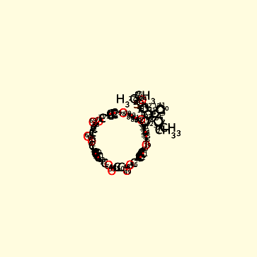 CC1(C)CCC2(CC1)c1ccccc1-c1c2c2c(c3cc4c(cc13)OC(C)(C)S4)OC1(C=C2)c2ccc(cc2)OC2CCC(CC2)COC(=O)CCC(=O)OCC2CCC(CC2)COC(=O)CCC(=O)OCC2CCC(CC2)Oc2ccc1cc2